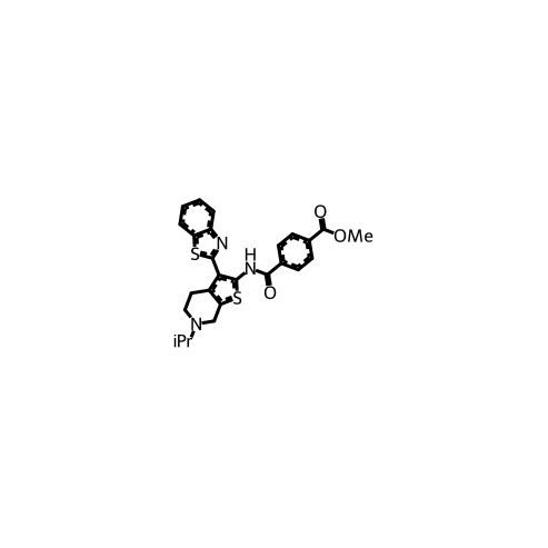 COC(=O)c1ccc(C(=O)Nc2sc3c(c2-c2nc4ccccc4s2)CCN(C(C)C)C3)cc1